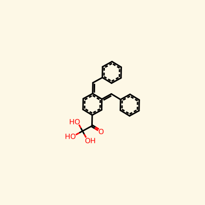 O=C(c1ccc(=Cc2ccccc2)c(=Cc2ccccc2)c1)C(O)(O)O